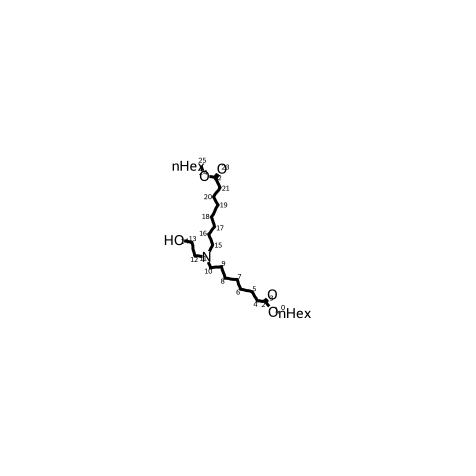 CCCCCCOC(=O)CCCCCCCN(CCO)CCCCCCCC(=O)OCCCCCC